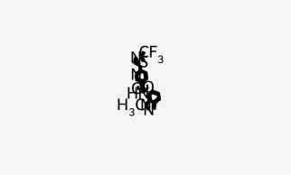 Cn1ncc2cccc(NS(=O)(=O)c3ccc(-c4cnc(C(F)(F)F)s4)nc3)c21